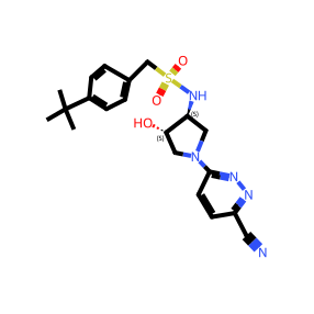 CC(C)(C)c1ccc(CS(=O)(=O)N[C@H]2CN(c3ccc(C#N)nn3)C[C@@H]2O)cc1